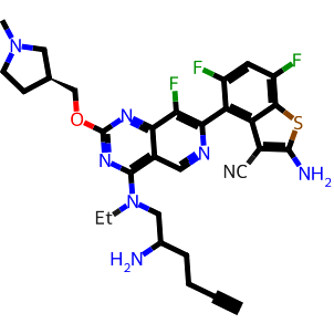 C#CCCC(N)CN(CC)c1nc(OC[C@H]2CCN(C)C2)nc2c(F)c(-c3c(F)cc(F)c4sc(N)c(C#N)c34)ncc12